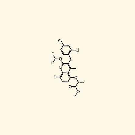 COC(=O)[C@@H](C)Oc1ccc(F)c2nc(OC(F)F)c(Cc3ccc(Cl)cc3Cl)c(C)c12